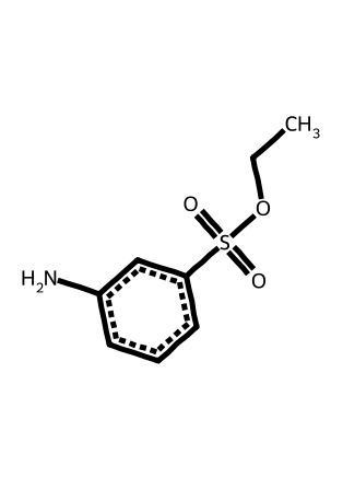 CCOS(=O)(=O)c1cccc(N)c1